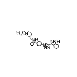 CN1CCCC(CNC(=O)c2ccc(-n3cc(-c4n[nH]c5c4=CCCC=5)nn3)cc2)C1